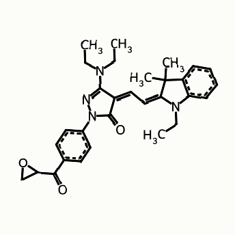 CCN(CC)C1=NN(c2ccc(C(=O)C3CO3)cc2)C(=O)/C1=C\C=C1\N(CC)c2ccccc2C1(C)C